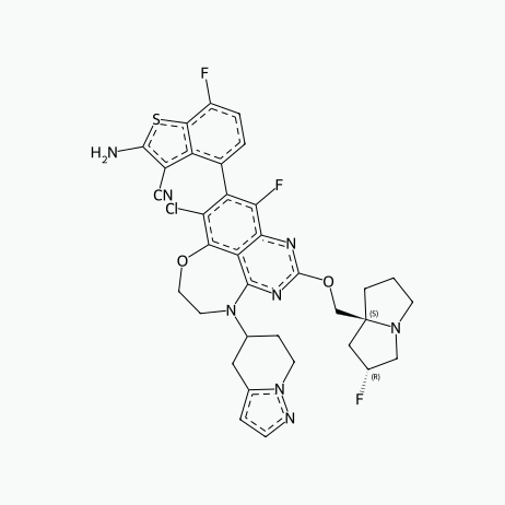 N#Cc1c(N)sc2c(F)ccc(-c3c(Cl)c4c5c(nc(OC[C@@]67CCCN6C[C@H](F)C7)nc5c3F)N(C3CCn5nccc5C3)CCO4)c12